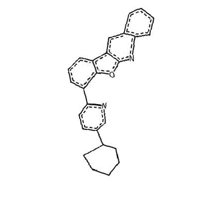 c1ccc2nc3oc4c(-c5ccc(C6CCCCC6)cn5)cccc4c3cc2c1